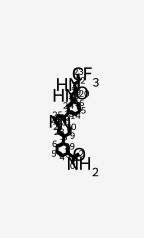 NC(=O)c1cccc(-c2ccn3c(-c4cccc(NC(=O)NCC(F)(F)F)c4)cnc3c2)c1